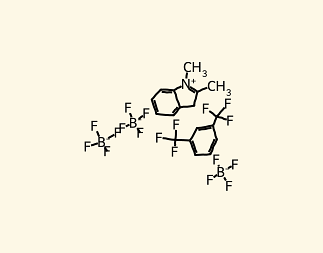 CC1=[N+](C)c2ccccc2C1.FC(F)(F)c1cccc(C(F)(F)F)c1.F[B-](F)(F)F.F[B-](F)(F)F.F[B-](F)(F)F